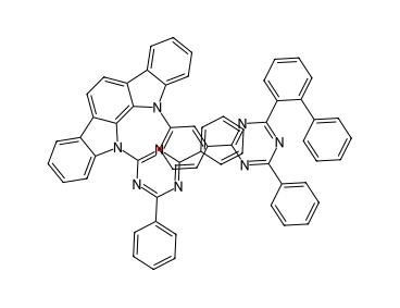 c1ccc(-c2nc(-c3cccc(-n4c5ccccc5c5ccc6c7ccccc7n(-c7nc(-c8ccccc8)nc(-c8ccccc8)n7)c6c54)c3)nc(-c3ccccc3-c3ccccc3)n2)cc1